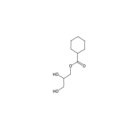 O=C(OCC(O)CO)C1CCCCC1